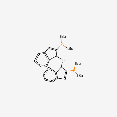 CC(C)(C)P(C1=Cc2ccccc2[CH]1[Ti][CH]1C(P(C(C)(C)C)C(C)(C)C)=Cc2ccccc21)C(C)(C)C